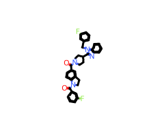 O=C(c1ccc2c(c1)CCN2C(=O)c1cccc(F)c1)N1CCC(c2nc3ccccc3n2Cc2cccc(F)c2)CC1